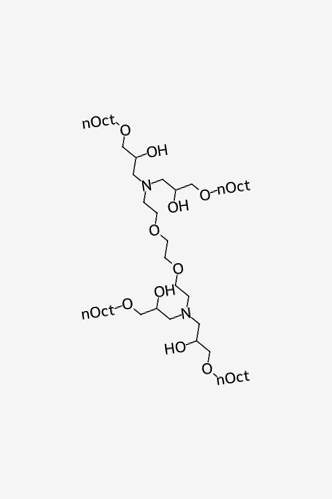 CCCCCCCCOCC(O)CN(CCOCCOCCN(CC(O)COCCCCCCCC)CC(O)COCCCCCCCC)CC(O)COCCCCCCCC